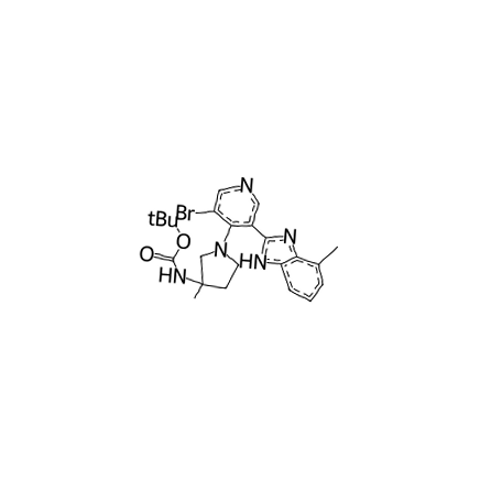 Cc1cccc2[nH]c(-c3cncc(Br)c3N3CCC(C)(NC(=O)OC(C)(C)C)C3)nc12